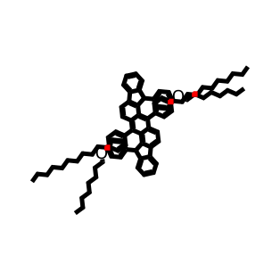 CCCCCCCCCCc1ccc(C2c3ccccc3-c3ccc4c(-c5ccc(OCCCCCCCC)cc5)c5c6c(ccc5c(-c5ccc(OCCCCCCCC)cc5)c4c32)-c2ccccc2C6c2ccc(CCCCCCCCCC)cc2)cc1